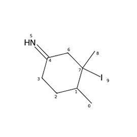 CC1CCC(=N)CC1(C)I